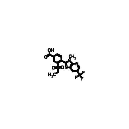 CCS(=O)(=O)c1cc(C(=O)O)ccc1-c1nc2cc(C(F)(F)F)cnc2n1C